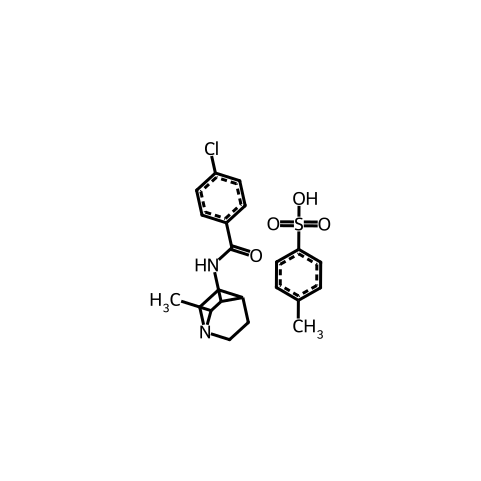 CC1C(NC(=O)c2ccc(Cl)cc2)C2CCN1CC2.Cc1ccc(S(=O)(=O)O)cc1